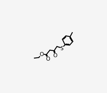 CCOC(=O)CC(=O)CSc1ccc(C)cc1